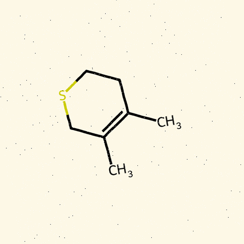 CC1=C(C)CSCC1